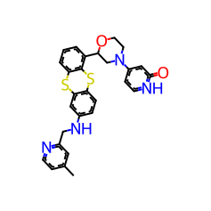 Cc1ccnc(CNc2ccc3c(c2)Sc2cccc(C4CN(c5cc[nH]c(=O)c5)CCO4)c2S3)c1